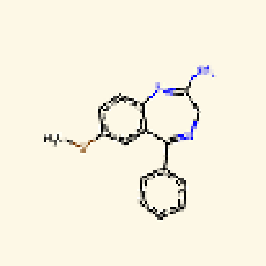 CSc1ccc2c(c1)C(c1ccccc1)=NCC(N)=N2